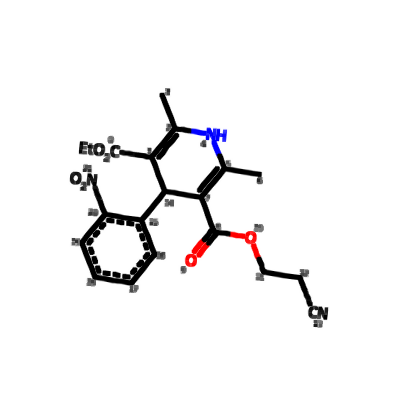 CCOC(=O)C1=C(C)NC(C)=C(C(=O)OCCC#N)C1c1ccccc1[N+](=O)[O-]